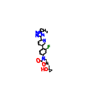 Cn1nnc(-c2ccc(-c3ccc(N4C[C@H](CC5(O)CC5)OC4=O)cc3F)cn2)n1